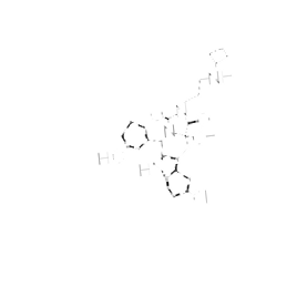 CC12Cc3c([nH]c4ccc(Cl)cc34)C(c3cccc(O)c3)N1C(=O)N(CCCNC1CCC1)C2=O